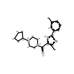 Cc1cccc(-c2nc(C)c(C(=O)N3CCN(C4CCCC4)CC3)s2)c1